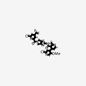 COc1cnc(Cl)cc1-c1ccnc(C)c1C(=O)Nc1nc2c(s1)CN(C(=O)c1cc(C(F)F)cc(Cl)n1)C2